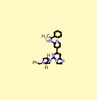 CC(C)CN1C[C@@H]2C[C@H]1CN2c1nc(-c2ccnc(N[C@@H](C)c3ccccc3)c2)cc2nccn12